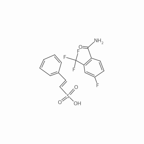 NC(=O)c1ccc(F)cc1C(F)(F)F.O=S(=O)(O)C=Cc1ccccc1